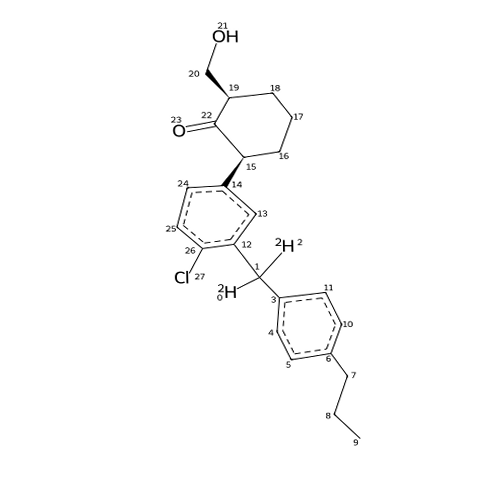 [2H]C([2H])(c1ccc(CCC)cc1)c1cc([C@@H]2CCC[C@H](CO)C2=O)ccc1Cl